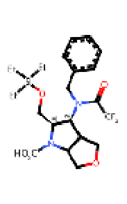 CC[Si](CC)(CC)OC[C@H]1[C@@H](N(Cc2ccccc2)C(=O)C(F)(F)F)C2COCC2N1C(=O)O